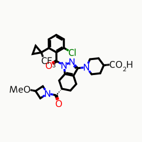 COC1CN(C(=O)[C@H]2CCc3c(N4CCC(C(=O)O)CC4)nn(C(=O)c4c(Cl)cccc4C4(C(F)(F)F)CC4)c3C2)C1